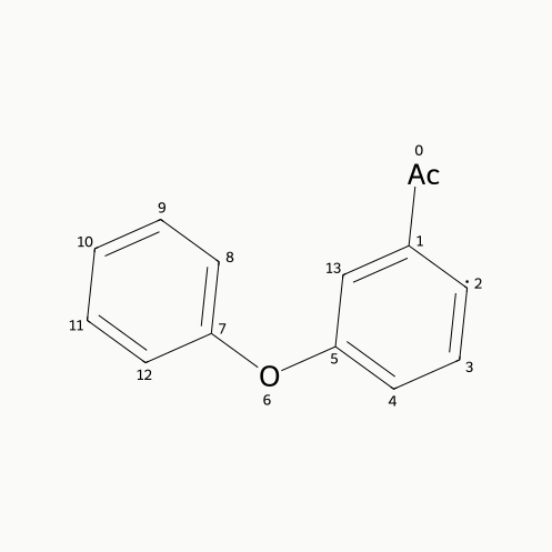 CC(=O)c1[c]ccc(Oc2ccccc2)c1